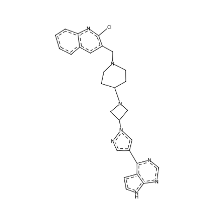 Clc1nc2ccccc2cc1CN1CCC(N2CC(n3cc(-c4ncnc5[nH]ccc45)cn3)C2)CC1